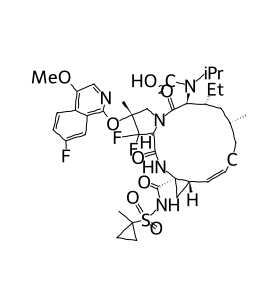 CC[C@@H]1C[C@H](C)CC/C=C\[C@@H]2C[C@@]2(C(=O)NS(=O)(=O)C2(C)CC2)NC(=O)[C@@H]2N(C[C@@](C)(Oc3ncc(OC)c4ccc(F)cc34)C2(F)F)C(=O)[C@H]1N(C(=O)O)C(C)C